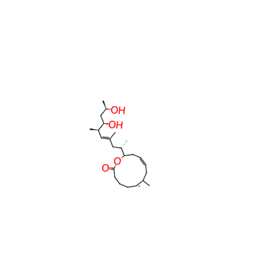 C/C(=C\[C@@H](C)[C@H](O)C[C@@H](C)O)C[C@H](C)C1CC=CCC(C)[CH]CCCC(=O)O1